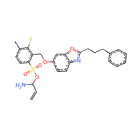 C=CC(N)OS(=O)(=O)c1ccc(C)c(F)c1COc1ccc2nc(CCCc3ccccc3)oc2c1